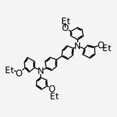 CCOc1cccc(N(c2ccc(-c3ccc(N(c4cccc(OCC)c4)c4cccc(OCC)c4)cc3)cc2)c2cccc(OCC)c2)c1